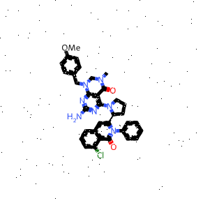 COc1ccc(CN2CN(C)C(=O)c3c2nc(N)nc3N2CCC[C@H]2c2cc3cccc(Cl)c3c(=O)n2-c2ccccc2)cc1